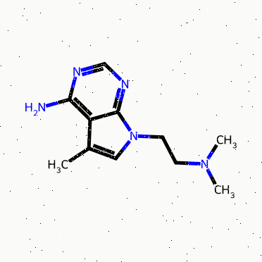 Cc1cn(CCN(C)C)c2ncnc(N)c12